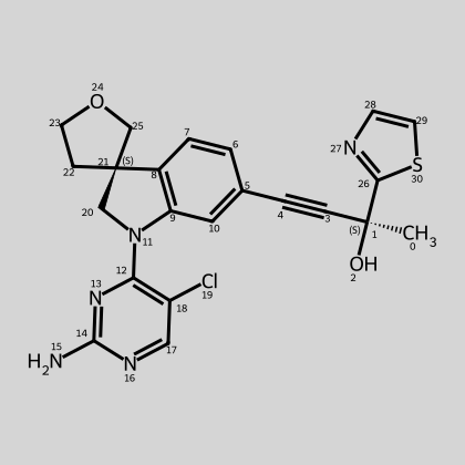 C[C@](O)(C#Cc1ccc2c(c1)N(c1nc(N)ncc1Cl)C[C@]21CCOC1)c1nccs1